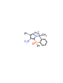 CC(C)c1cn2c(c1N)P(=O)(C(C)C)c1ccccc1C2(C)C